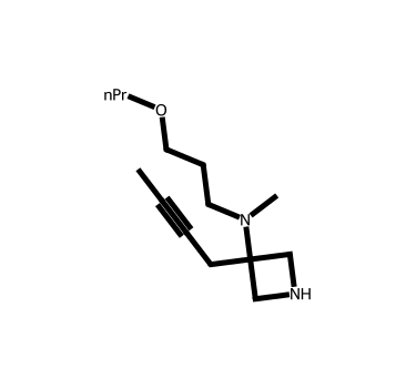 CC#CCC1(N(C)CCCOCCC)CNC1